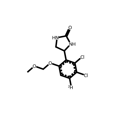 [2H]c1cc(OCOC)c(C2CNC(=O)N2)c(Cl)c1Cl